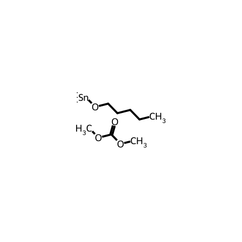 CCCCC[O][Sn].COC(=O)OC